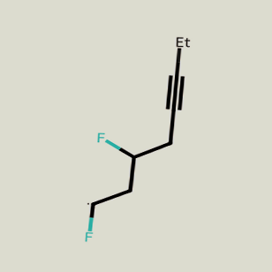 CCC#CCC(F)C[CH]F